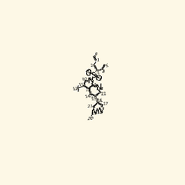 C=C/C=C(\C=C)S(=O)(=O)n1cc(I)c2cc(-c3cnn(C)c3)cnc21